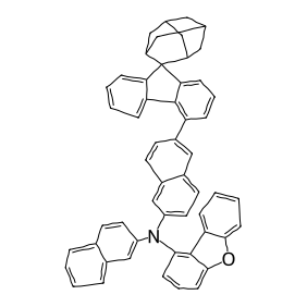 c1ccc2c(c1)-c1c(-c3ccc4cc(N(c5ccc6ccccc6c5)c5cccc6oc7ccccc7c56)ccc4c3)cccc1C21C2CC3CC(C2)CC1C3